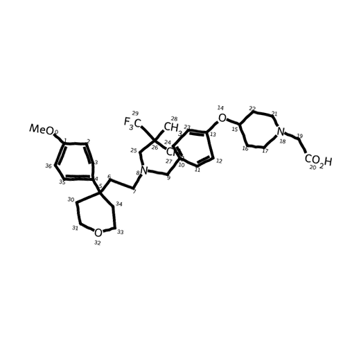 COc1ccc(C2(CCN(Cc3ccc(OC4CCN(CC(=O)O)CC4)cc3)CC(C)(C)C(F)(F)F)CCOCC2)cc1